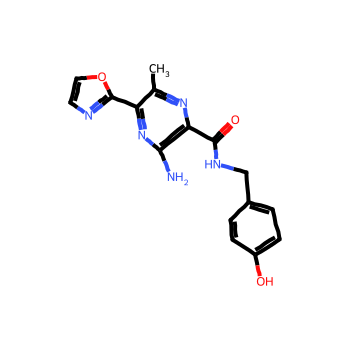 Cc1nc(C(=O)NCc2ccc(O)cc2)c(N)nc1-c1ncco1